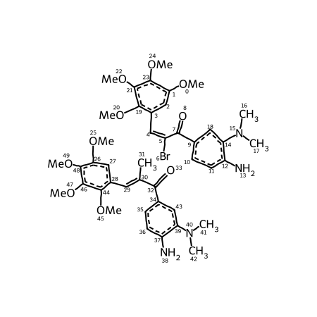 COc1cc(/C=C(/Br)C(=O)c2ccc(N)c(N(C)C)c2)c(OC)c(OC)c1OC.COc1cc(/C=C(\C)C(=O)c2ccc(N)c(N(C)C)c2)c(OC)c(OC)c1OC